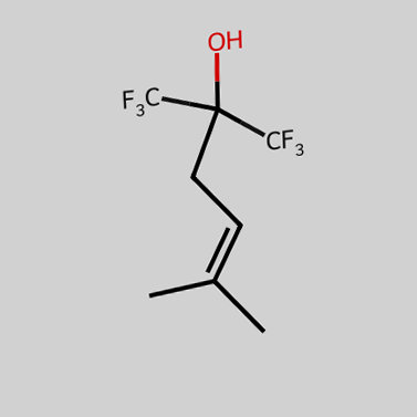 CC(C)=CCC(O)(C(F)(F)F)C(F)(F)F